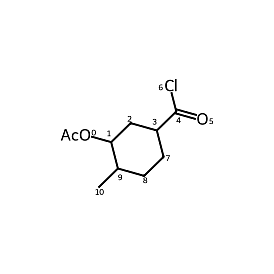 CC(=O)OC1CC(C(=O)Cl)CCC1C